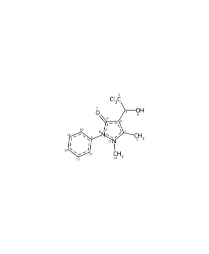 Cc1c(C(O)C(Cl)(Cl)Cl)c(=O)n(-c2ccccc2)n1C